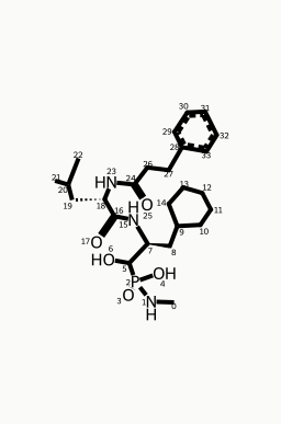 CNP(=O)(O)C(O)[C@H](CC1CCCCC1)NC(=O)[C@H](CC(C)C)NC(=O)CCc1ccccc1